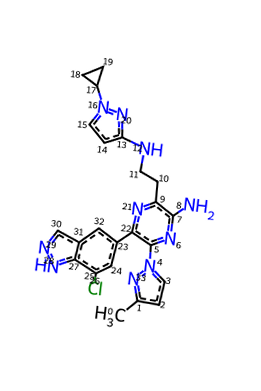 Cc1ccn(-c2nc(N)c(CCNc3ccn(C4CC4)n3)nc2-c2cc(Cl)c3[nH]ncc3c2)n1